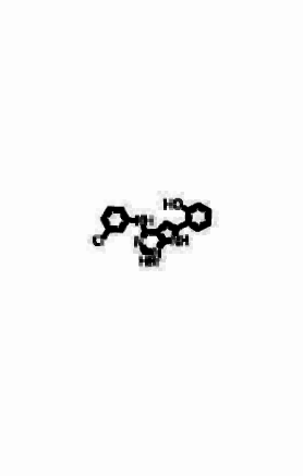 Br.Oc1ccccc1-c1cc2c(Nc3cccc(Cl)c3)ncnc2[nH]1